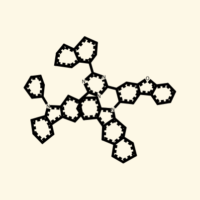 c1ccc(-n2c3ccccc3c3ccc(-c4nc(-c5cc6oc7ccccc7c6cc5-n5c6ccccc6c6cc7ccccc7cc65)nc(-c5cccc6ccccc56)n4)cc32)cc1